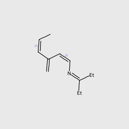 C=C(/C=C\C)/C=C\N=C(CC)CC